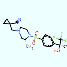 C[C@@H]1CN(CC2(C#N)CC2)CCN1S(=O)(=O)c1ccc([C@](C)(O)C(F)(F)F)cc1